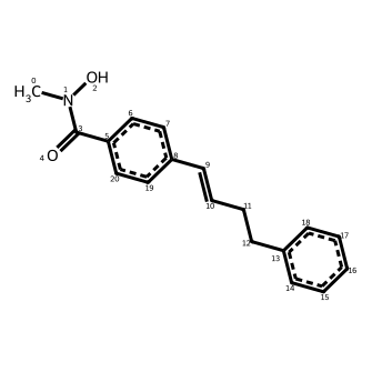 CN(O)C(=O)c1ccc(C=CCCc2ccccc2)cc1